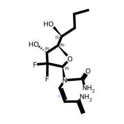 C=C(N)/C=C\N(C(N)=O)[C@@H]1O[C@H]([C@@H](O)CCC)[C@@H](O)C1(F)F